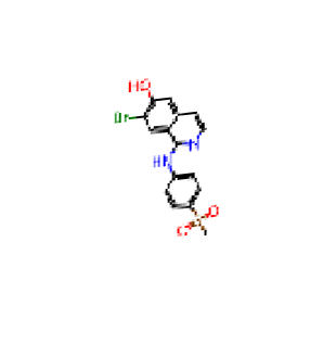 CS(=O)(=O)c1ccc(Nc2nccc3cc(O)c(Br)cc23)cc1